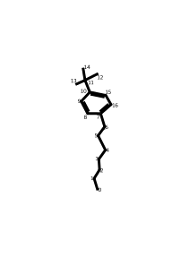 CCCCCC[CH]c1ccc(C(C)(C)C)cc1